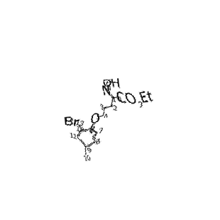 CCOC(=O)C(CCCOc1ccc(C)cc1Br)=NO